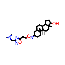 CN(C)Cc1noc(CCON=C2CCC3(C)C(CCC4C5CCC(O)C5(C)CC[C@@H]43)C2)n1